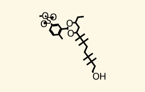 CCC1CC(C(C)(C)C(C)(C)CCC(C)(C)C(C)(C)CCO)OC(c2cc(S(=O)(=O)OC)ccc2C)O1